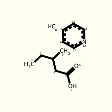 CCC(C)CC(=O)O.Cl.c1ccncc1